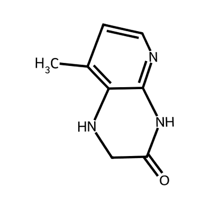 Cc1ccnc2c1NCC(=O)N2